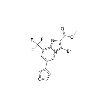 COC(=O)c1nc2c(C(F)(F)F)cc(-c3ccoc3)cn2c1Br